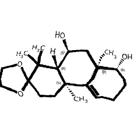 CC1(C)[C@@H]2[C@@H](O)C[C@]3(C)C(=CCC[C@H]3O)[C@@]2(C)CCC12OCCO2